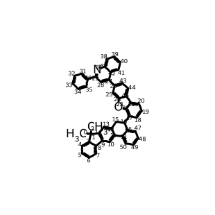 CC1(C)c2ccccc2-c2cc3c(cc21)CC(c1cccc2c1oc1cc(-c4cc(-c5ccccc5)nc5ccccc45)ccc12)c1ccccc1-3